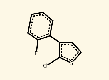 Fc1ccccc1-c1ccsc1Cl